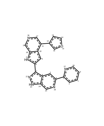 c1ccc(-c2cc3c(-c4cc5c(-c6ccoc6)cncc5[nH]4)n[nH]c3cn2)nc1